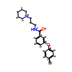 O=C(NCCCN1CCCCC1)c1cccc(Oc2ccc(Br)cc2)c1